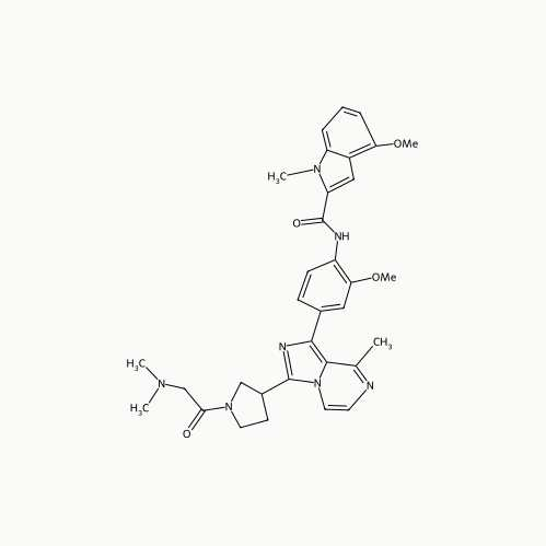 COc1cc(-c2nc(C3CCN(C(=O)CN(C)C)C3)n3ccnc(C)c23)ccc1NC(=O)c1cc2c(OC)cccc2n1C